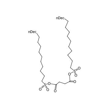 CCCCCCCCCCCCCCCCCCCCS(=O)(=O)OC(=O)CCC(=O)OS(=O)(=O)CCCCCCCCCCCCCCCCCCCC